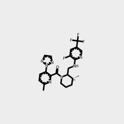 Cc1ccc(-n2nccn2)c(C(=O)N2CCC[C@@H](C)C2CNc2ncc(C(F)(F)F)cc2F)n1